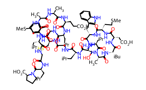 CC[C@H](C)[C@H](NC(=O)[C@H](C)NC(=O)[C@@H](N)C(C)C)C(=O)N[C@@H](CC(=O)O)C(=O)N[C@@H](CCSC)C(=O)N[C@@H](Cc1c[nH]c2ccccc12)C(=O)N[C@@H](CO)C(=O)N[C@@H](CC(C)C)C(=O)NCC(=O)N[C@@H](CS)C(=O)N[C@@H](CCSC)C(=O)N[C@@H](C)C(=O)N[C@@H](C)C(=O)N[C@@H](CCC(=O)O)C(=O)N[C@@H](CC(C)C)C(=O)N[C@@H](Cc1ccccc1)C(=O)N[C@@H](CC(C)C)C(=O)NCC(=O)N[C@@H](CC(C)C)C(=O)N1CCC[C@H]1C(=O)O